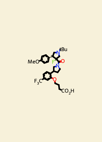 COc1ccc([C@@H]2CN(C(C)(C)C)C[C@@]2(F)C(=O)N2CCC(c3ccc(C(F)(F)F)cc3OCCCC(=O)O)C2)cc1